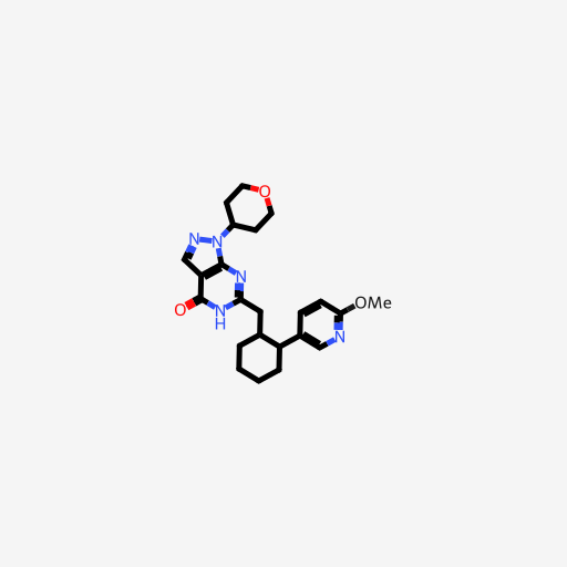 COc1ccc(C2CCCCC2Cc2nc3c(cnn3C3CCOCC3)c(=O)[nH]2)cn1